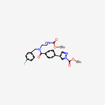 CC(C)(C)OC(=O)NCCN(Cc1ccc(F)cc1)C(=O)c1ccc(-c2cnn(C(=O)OC(C)(C)C)c2)cc1